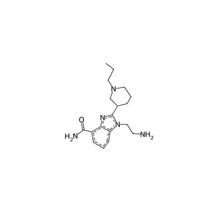 CCCN1CCCC(c2nc3c(C(N)=O)cccc3n2CCN)C1